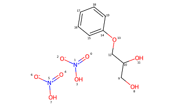 O=[N+]([O-])O.O=[N+]([O-])O.OCC(O)COc1ccccc1